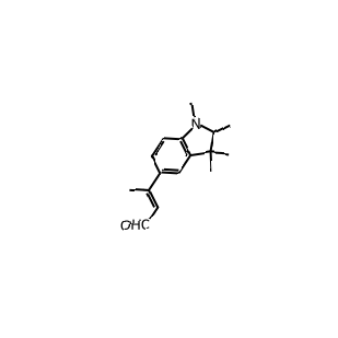 CC(=CC=O)c1ccc2c(c1)C(C)(C)C(C)N2C